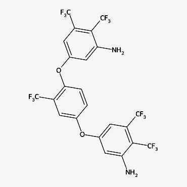 Nc1cc(Oc2ccc(Oc3cc(N)c(C(F)(F)F)c(C(F)(F)F)c3)c(C(F)(F)F)c2)cc(C(F)(F)F)c1C(F)(F)F